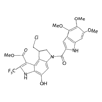 COC(=O)c1c(C(F)(F)F)[nH]c2c(O)cc3c(c12)C(CCl)CN3C(=O)c1cc2c(OC)c(OC)c(OC)cc2[nH]1